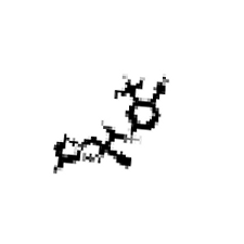 C#CC(O)(Cn1cc(F)cn1)C(=O)Nc1ccc(C#N)c(C(F)(F)F)c1